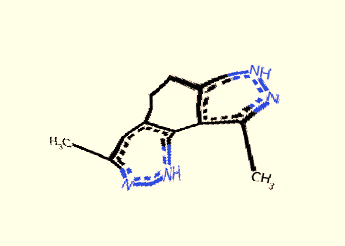 Cc1n[nH]c2c1CCc1[nH]nc(C)c1-2